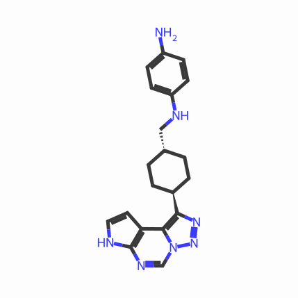 Nc1ccc(NC[C@H]2CC[C@H](c3nnn4cnc5[nH]ccc5c34)CC2)cc1